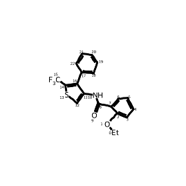 CCOc1ccccc1C(=O)Nc1csc(C(F)(F)F)c1-c1ccccc1